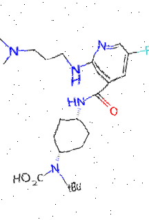 CN(C)CCCNc1ncc(F)cc1C(=O)N[C@H]1CC[C@@H](N(C(=O)O)C(C)(C)C)CC1